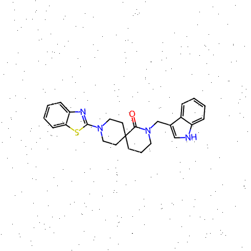 O=C1N(Cc2c[nH]c3ccccc23)CCCC12CCN(c1nc3ccccc3s1)CC2